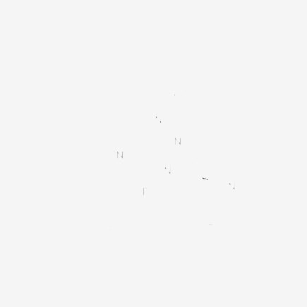 Fc1c(-c2cc(Cl)cc3ccccc23)ncc2c(N3CCCC4(CCO4)C3)nc(OC[C@@]34CCCN3CC(F)C4)nc12